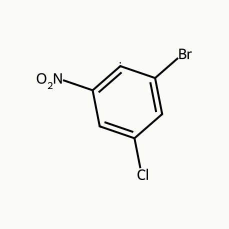 O=[N+]([O-])c1[c]c(Br)cc(Cl)c1